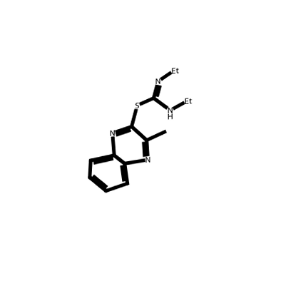 CCN=C(NCC)Sc1nc2ccccc2nc1C